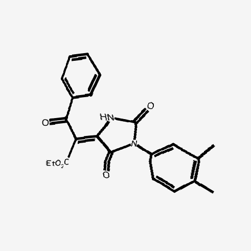 CCOC(=O)C(C(=O)c1ccccc1)=C1NC(=O)N(c2ccc(C)c(C)c2)C1=O